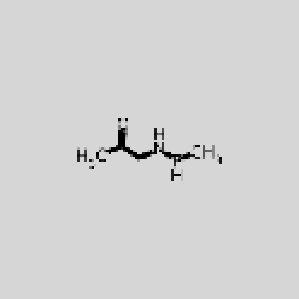 CPNCC(C)=O